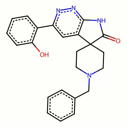 O=C1Nc2nnc(-c3ccccc3O)cc2C12CCN(Cc1ccccc1)CC2